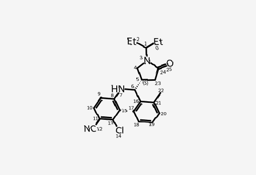 CCC(CC)N1C[C@@H](C(Nc2ccc(C#N)c(Cl)c2)c2ccccc2C)CC1=O